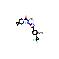 C[C@H](Nc1nnc(-c2ccc([C@H]3CC3(F)F)c(C#N)c2)o1)C(=O)N1CCC2(CC1)CC2